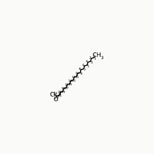 CCCCCCCCCCCCCCCCCCCCC=CC(=O)Cl